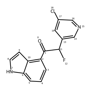 O=C(c1cccc2[nH]ccc12)C(F)c1cncc(Cl)c1